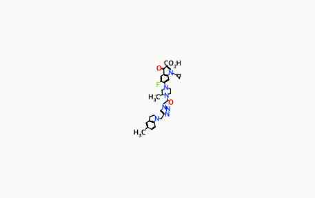 Cc1ccc2c(c1)CCN2Cc1cn(CC(=O)N2CCN(c3cc4c(cc3F)c(=O)c(C(=O)O)cn4C3CC3)CC2C)nn1